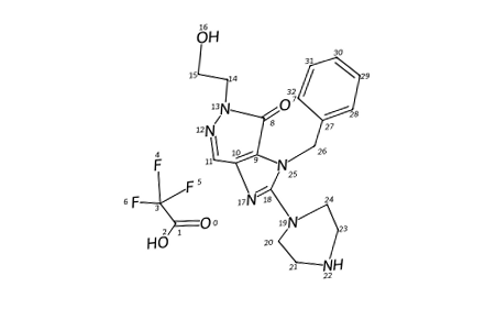 O=C(O)C(F)(F)F.O=c1c2c(cnn1CCO)nc(N1CCNCC1)n2Cc1ccccc1